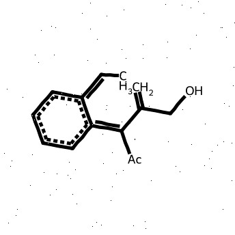 C=C(CO)/C(C(C)=O)=c1/cccc/c1=C/C